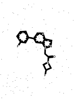 O=C(Cn1ncc2ncc(-c3cccc(F)c3)cc21)N1CC(F)C1